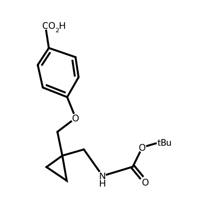 CC(C)(C)OC(=O)NCC1(COc2ccc(C(=O)O)cc2)CC1